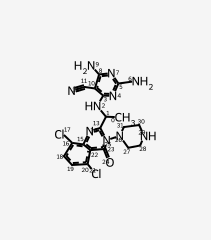 CC(Nc1nc(N)nc(N)c1C#N)c1nc2c(Cl)ccc(Cl)c2c(=O)n1N1CCNCC1